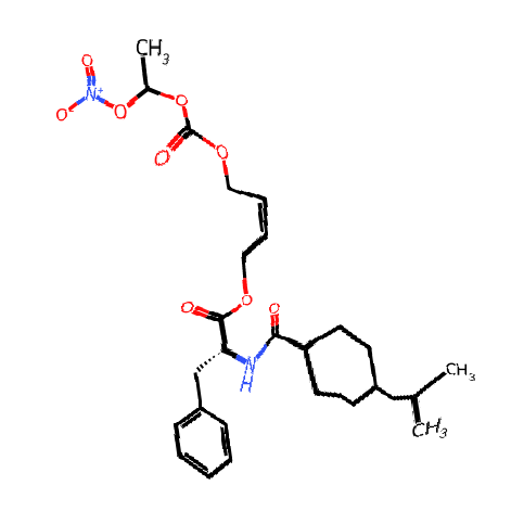 CC(OC(=O)OC/C=C\COC(=O)[C@@H](Cc1ccccc1)NC(=O)C1CCC(C(C)C)CC1)O[N+](=O)[O-]